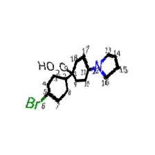 O=C(O)C1(C2CCC(Br)CC2)CCC(N2CCCC2)CC1